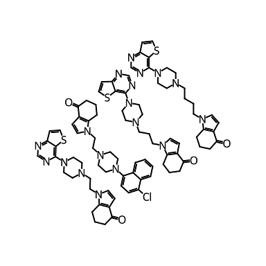 O=C1CCCc2c1ccn2CCCCN1CCN(c2ncnc3ccsc23)CC1.O=C1CCCc2c1ccn2CCCN1CCN(c2ncnc3ccsc23)CC1.O=C1CCCc2c1ccn2CCN1CCN(c2ccc(Cl)c3ccccc23)CC1.O=C1CCCc2c1ccn2CCN1CCN(c2ncnc3ccsc23)CC1